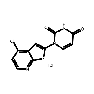 Cl.O=c1ccn(-c2cc3c(Cl)ccnc3s2)c(=O)[nH]1